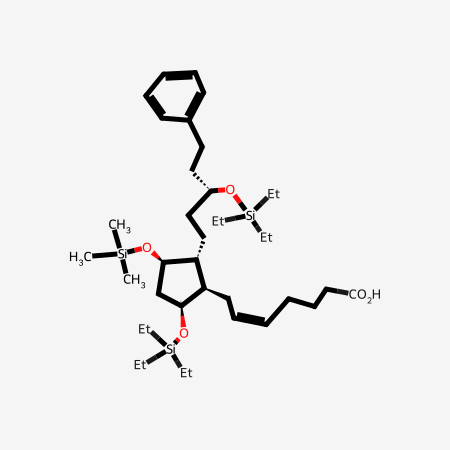 CC[Si](CC)(CC)O[C@@H](CCc1ccccc1)CC[C@@H]1[C@@H](C/C=C\CCCC(=O)O)[C@@H](O[Si](CC)(CC)CC)C[C@H]1O[Si](C)(C)C